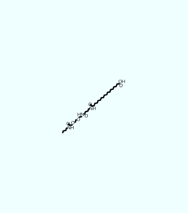 CCCCNC(=O)COCCOCCNC(=O)CCCNC(=O)CCCCCCCCCCCCCCCCC(=O)O